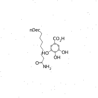 CCCCCCCCCCCCCCCCCC(N)=O.O=C(O)c1cc(O)c(O)c(O)c1